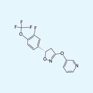 Fc1cc([C@@H]2CC(Oc3cccnc3)=NO2)ccc1OC(F)(F)F